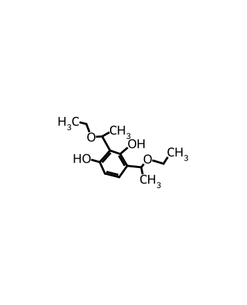 CCOC(C)c1ccc(O)c(C(C)OCC)c1O